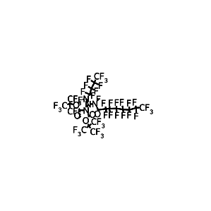 O=C(OC(C(F)(F)F)(C(F)(F)F)C(F)(F)F)N(C(=O)OC(C(F)(F)F)(C(F)(F)F)C(F)(F)F)N(N(F)C(=O)C(F)(F)C(F)(F)C(F)(F)C(F)(F)C(F)(F)C(F)(F)C(F)(F)F)N(F)C(F)(F)C(F)(F)C(F)(F)C(F)(F)F